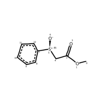 COC(=O)C[S@+]([O-])c1ccccc1